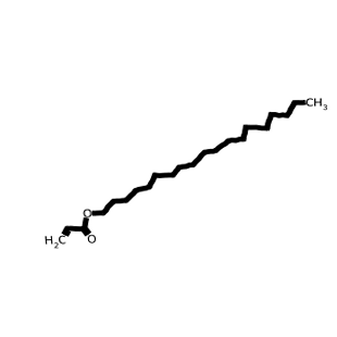 C=CC(=O)OCCCCCCCCCCCCCCCCCCC